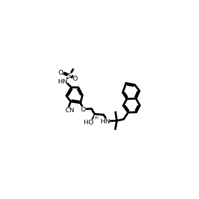 CC(C)(Cc1ccc2ccccc2c1)NC[C@@H](O)COc1ccc(NS(C)(=O)=O)cc1C#N